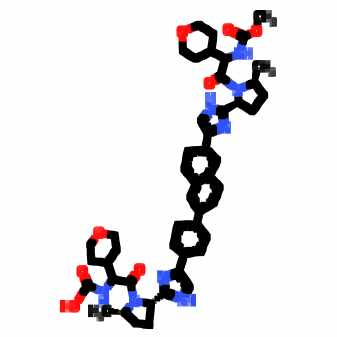 COC(=O)NC(C(=O)N1[C@@H](C)CC[C@H]1c1nc(-c2ccc3cc(-c4ccc(-c5c[nH]c([C@@H]6CC[C@H](C)N6C(=O)C(NC(=O)O)C6CCOCC6)n5)cc4)ccc3c2)c[nH]1)C1CCOCC1